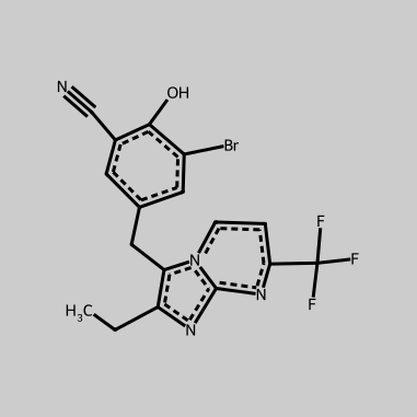 CCc1nc2nc(C(F)(F)F)ccn2c1Cc1cc(Br)c(O)c(C#N)c1